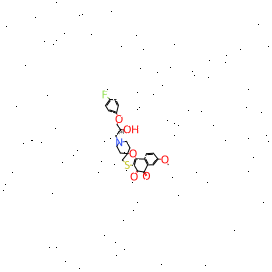 COc1ccc2c(c1)C(=O)C(=O)C1=C2OC2(CCN(C[C@H](O)COc3ccc(F)cc3)CC2)CS1